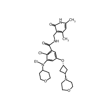 CCN(c1cc(O[C@H]2C[C@H](N3CCOCC3)C2)cc(C(=O)NCc2c(C)cc(C)[nH]c2=O)c1Cl)C1CCOCC1